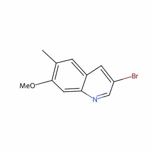 COc1cc2ncc(Br)cc2cc1C